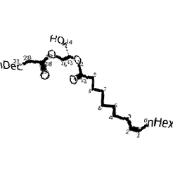 CCCCCC/C=C\CCCCCCCC(=O)O[C@@H](CO)COC(=O)CCCCCCCCCCC